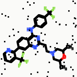 CC1CN(CCc2nc(Nc3ccc(C(F)(F)F)cc3)c3ccc(-c4ncccc4C(F)(F)F)cc3n2)CC(C)O1